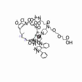 COc1cc2cc(c1Cl)N(C)C(=O)C[C@H](OC(=O)[C@@H](C)N(C)C(=O)CCC(=O)N(CCOCCOCCC(=O)O)C1CCN(C(=O)CCn3c4c(c5ccccc53)C(c3ccccc3)N(C)N(C)C4)CC1)[C@]1(C)OC1[C@H](C)[C@@H]1C[C@@](O)(NC(=O)O1)[C@H](OC)/C=C/C=C(\C)C2